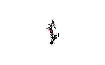 CCC(=O)OCc1csc(NC(=O)C23CCC(NCC(=O)N4C[C@@H](F)C[C@H]4C#N)(CC2)CC3)n1